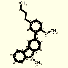 CCCCc1ccc(OC)c(-c2ccc3c(c2)c2ccccc2n3C)c1